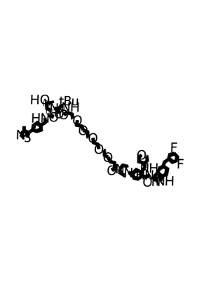 Cc1ncsc1-c1ccc(CNC(=O)[C@@H]2C[C@@H](O)CN2C(=O)[C@@H](NC(=O)CCOCCOCCOCCOCCOCCC(=O)N2CCN(c3ccc(C(=O)Nc4n[nH]c5ccc(Cc6cc(F)cc(F)c6)cc45)c(NC4CCOCC4)c3)CC2)C(C)(C)C)cc1